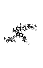 Cc1nnc(-c2ccc3c(-c4nc(N[C@H]5CCCN(C(=O)OC(C)(C)C)C5)ncc4C(F)(F)F)cn(COCC[Si](C)(C)C)c3n2)s1